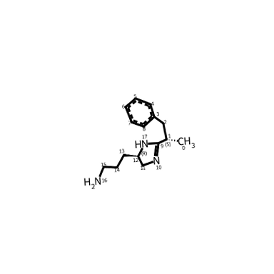 C[C@@H](Cc1ccccc1)C1=NC[C@@H](CCCN)N1